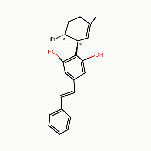 CC1=C[C@@H](c2c(O)cc(C=Cc3ccccc3)cc2O)[C@H](C(C)C)CC1